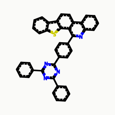 c1ccc(-c2nc(-c3ccccc3)nc(-c3ccc(-c4nc5ccccc5c5ccc6c7ccccc7sc6c45)cc3)n2)cc1